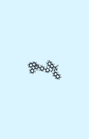 C=C(/N=C(\C=C\c1ccc(-c2ccc(-c3cc(-c4ccccc4)c4c(ccc5ccccc54)n3)cc2)cc1)c1ccc2ccccc2c1)c1ccc2ccccc2c1